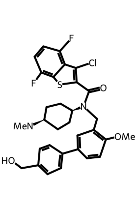 CN[C@H]1CC[C@@H](N(Cc2cc(-c3ccc(CO)cc3)ccc2OC)C(=O)c2sc3c(F)ccc(F)c3c2Cl)CC1